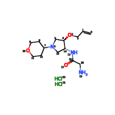 C=CCO[C@@H]1CN(C2CCOCC2)C[C@H]1NC(=O)CN.Cl.Cl